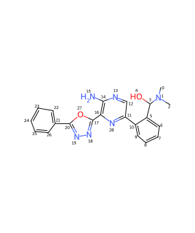 CN(C)C(O)c1ccccc1-c1cnc(N)c(-c2nnc(-c3ccccc3)o2)n1